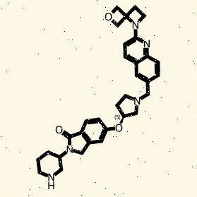 O=C1c2ccc(O[C@H]3CCN(Cc4ccc5nc(N6CCC67COC7)ccc5c4)C3)cc2CN1C1CCCNC1